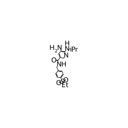 CCS(=O)(=O)c1ccc(CNC(=O)c2cnc(NC(C)C)c(N)c2)cc1